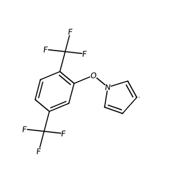 FC(F)(F)c1ccc(C(F)(F)F)c(On2c[c]cc2)c1